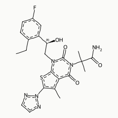 CCc1ccc(F)cc1[C@@H](O)Cn1c(=O)n(C(C)(C)C(N)=O)c(=O)c2c(C)c(-n3nccn3)sc21